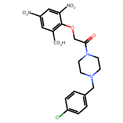 O=C(O)c1cc([N+](=O)[O-])cc([N+](=O)[O-])c1OCC(=O)N1CCN(Cc2ccc(Cl)cc2)CC1